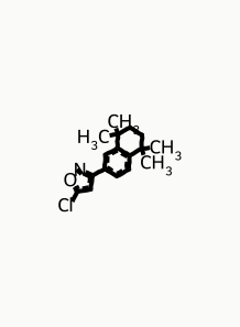 CC1(C)CCC(C)(C)c2cc(-c3cc(Cl)on3)ccc21